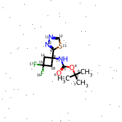 CC(C)(C)OC(=O)NC1(c2nncs2)CC(F)(F)C1